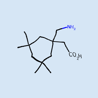 CC1(C)CC(C)(C)CC(CN)(CC(=O)O)C1